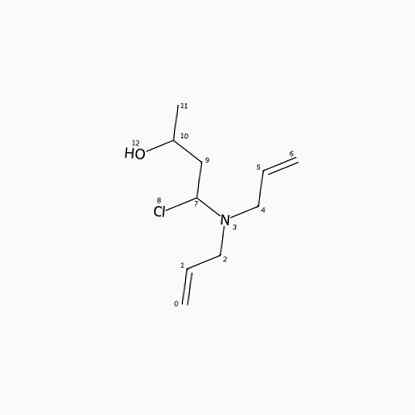 C=CCN(CC=C)C(Cl)CC(C)O